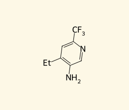 CCc1cc(C(F)(F)F)ncc1N